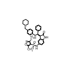 Cc1noc(C)c1S(=O)(=O)Nc1ccc2c(c1)C(=C(Nc1ccc(CN3CCCCC3)cc1)c1ccccc1)C(=O)N2